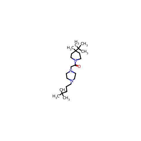 CC(C)(C)CCCN1CCN(CC(=O)N2CCC(C)(C(C)(C)C)CC2)CC1